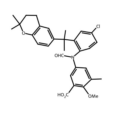 COc1c(C)cc(N(C=O)c2ccc(Cl)cc2C(C)(C)c2ccc3c(c2)CCC(C)(C)O3)cc1C(=O)O